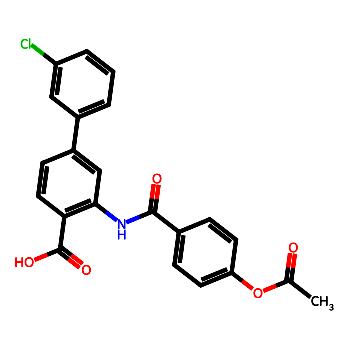 CC(=O)Oc1ccc(C(=O)Nc2cc(-c3cccc(Cl)c3)ccc2C(=O)O)cc1